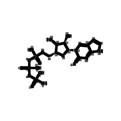 O=P(O)(O)OP(=O)(O)OP(=O)(O)OC[C@H]1O[C@@H](n2cc3cc[nH]c3nc2=S)[C@@H](O)C1O